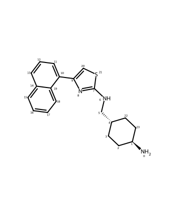 N[C@H]1CC[C@H](CNc2nc(-c3cccc4ccccc34)cs2)CC1